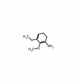 CCC1=C[CH]CC(N)=C1OC